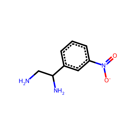 NCC(N)c1cccc([N+](=O)[O-])c1